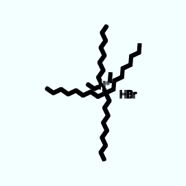 Br.CCCCCCCCCC(CCCCCCCC)(CCCCCCCC)[N+](CC)(CC)CCCCCCCC